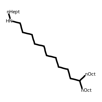 CCCCCCCCC(CCCCCCCC)CCCCCCCCCCNCCCCCCC